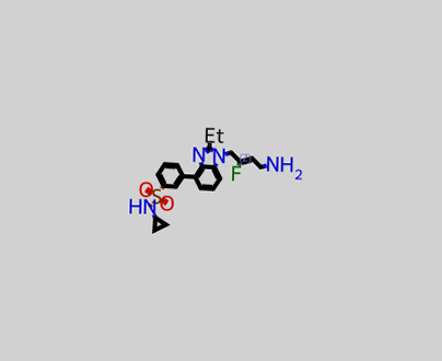 CCc1nc2c(-c3cccc(S(=O)(=O)NC4CC4)c3)cccc2n1C/C(F)=C/CN